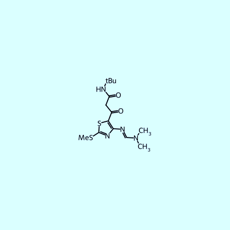 CSc1nc(N=CN(C)C)c(C(=O)CC(=O)NC(C)(C)C)s1